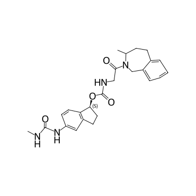 CNC(=O)Nc1ccc2c(c1)CC[C@@H]2OC(=O)NCC(=O)N1Cc2ccccc2CCC1C